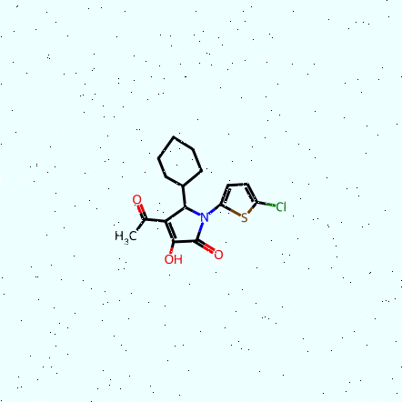 CC(=O)C1=C(O)C(=O)N(c2ccc(Cl)s2)C1C1CCCCC1